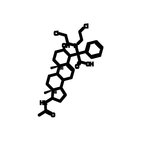 CC(=O)NC1CCC2C3CC=C4C(C(C(=O)O)(c5ccccc5)N(CCCl)CCCl)C(O)CC[C@]4(C)C3CC[C@]12C